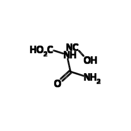 N#CO.NC(=O)NC(=O)O